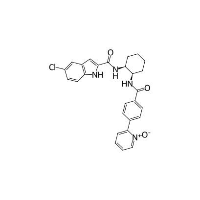 O=C(N[C@@H]1CCCC[C@@H]1NC(=O)c1cc2cc(Cl)ccc2[nH]1)c1ccc(-c2cccc[n+]2[O-])cc1